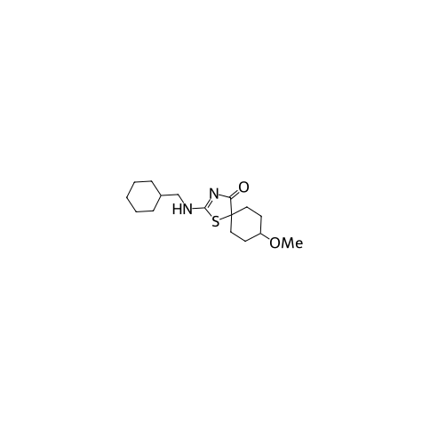 COC1CCC2(CC1)SC(NCC1CCCCC1)=NC2=O